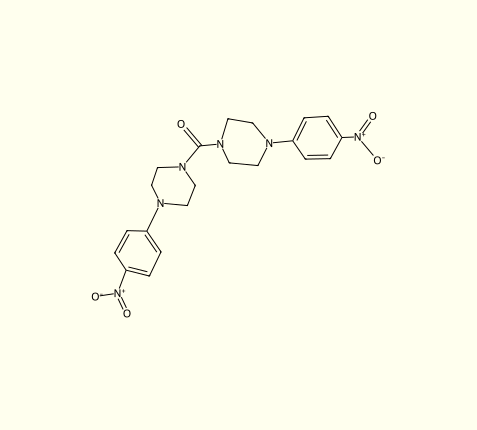 O=C(N1CCN(c2ccc([N+](=O)[O-])cc2)CC1)N1CCN(c2ccc([N+](=O)[O-])cc2)CC1